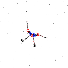 CCCCCCCCCCCCOc1ccc(-c2ncc(Oc3cnc(-c4ccc(OCCCCCCCCCCCC)cc4)nc3CCCCCCCCCCC[Si](C)(C)CC)c(CCCCCCCCCCC[Si](C)(C)CC)n2)cc1